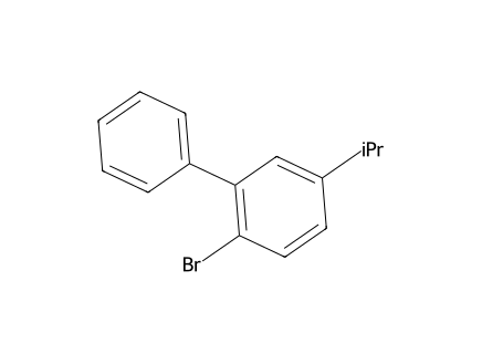 CC(C)c1ccc(Br)c(-c2ccccc2)c1